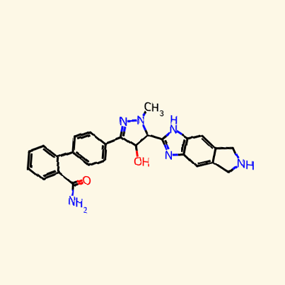 CN1N=C(c2ccc(-c3ccccc3C(N)=O)cc2)C(O)C1c1nc2cc3c(cc2[nH]1)CNC3